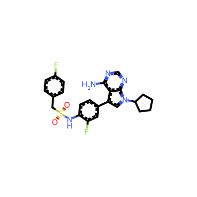 Nc1ncnc2c1c(-c1ccc(NS(=O)(=O)Cc3ccc(F)cc3)c(F)c1)cn2C1CCCC1